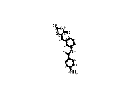 Nc1ccc(C(=O)Nc2cccc(C=C3SC(=O)NC3=O)c2)cc1